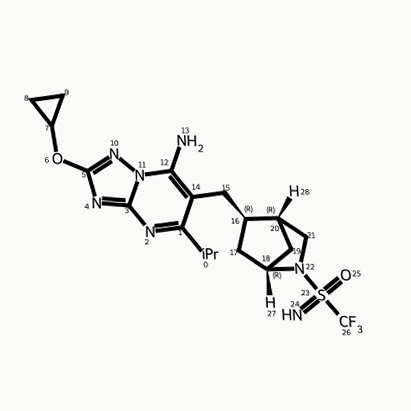 CC(C)c1nc2nc(OC3CC3)nn2c(N)c1C[C@@H]1C[C@@H]2C[C@H]1CN2S(=N)(=O)C(F)(F)F